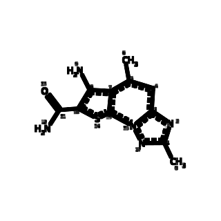 Cc1nc2cc(C)c3c(N)c(C(N)=O)sc3n2n1